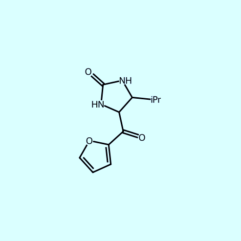 CC(C)C1NC(=O)NC1C(=O)c1ccco1